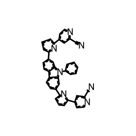 N#Cc1cc(-c2cccc(-c3ccc4c5ccc(-c6cccc(-c7ccnc(C#N)c7)n6)cc5n(-c5ccccc5)c4c3)n2)ccn1